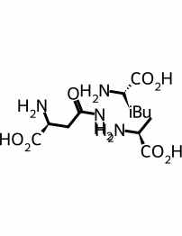 CC[C@H](C)[C@H](N)C(=O)O.C[C@H](N)C(=O)O.NC(=O)C[C@H](N)C(=O)O